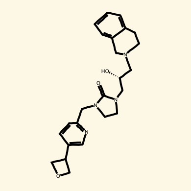 O=C1N(Cc2ccc(C3COC3)cn2)CCN1C[C@H](O)CN1CCc2ccccc2C1